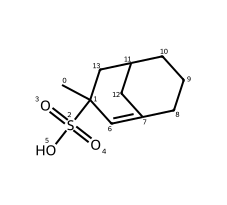 CC1(S(=O)(=O)O)C=C2CCCC(C2)C1